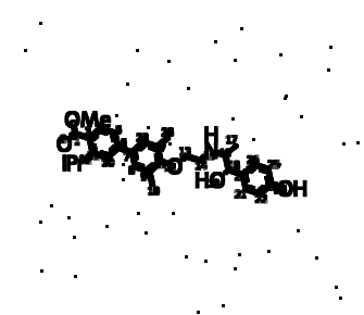 COC(=O)c1ccc(-c2cc(C)c(OCCN[C@@H](C)[C@H](O)c3ccc(O)cc3)c(C)c2)cc1C(C)C